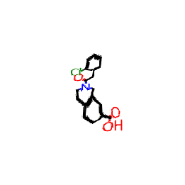 O=C(O)c1ccc2c(c1)CN(C(=O)Cc1ccccc1Cl)CC2